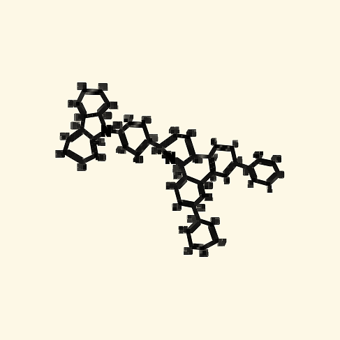 c1ccc(-c2ccc3c(c2)c2cc(-c4ccccc4)ccc2c2nc(-c4ccc(-n5c6ccccc6c6ccccc65)cc4)ccc32)cc1